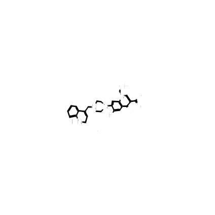 C=C1C=C(CN2CCN(c3cc4c(cc3F)c(=O)c(C(=O)O)cn4CC)CC2)c2ccccc2N1